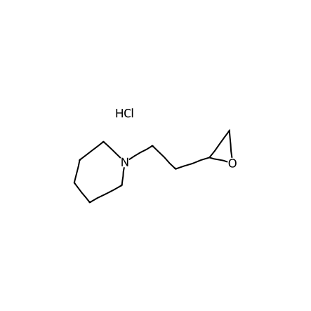 C1CCN(CCC2CO2)CC1.Cl